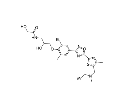 CCc1cc(-c2noc(-c3cc(C)c(CN(C)CC(C)C)s3)n2)cc(C)c1OCC(O)CNC(=O)CO